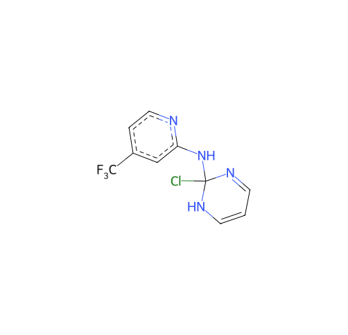 FC(F)(F)c1ccnc(NC2(Cl)N=CC=CN2)c1